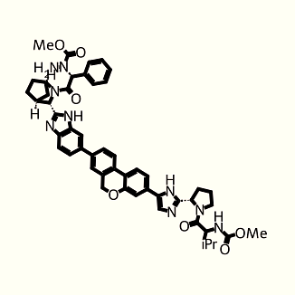 COC(=O)NC(C(=O)N1CCC[C@H]1c1ncc(-c2ccc3c(c2)OCc2cc(-c4ccc5nc([C@@H]6[C@H]7CC[C@H](C7)N6C(=O)[C@@H](c6ccccc6)N(N)C(=O)OC)[nH]c5c4)ccc2-3)[nH]1)C(C)C